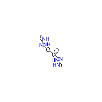 c1cc(-c2ccc(-c3cnc(C4CCCN4)[nH]3)c3c2C2CCC3C2)ccc1-c1cnc(C2CC3CC3N2)[nH]1